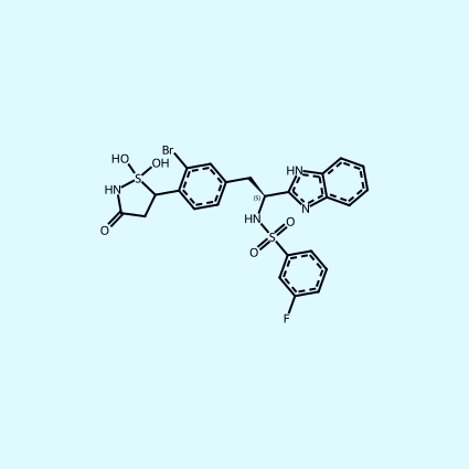 O=C1CC(c2ccc(C[C@H](NS(=O)(=O)c3cccc(F)c3)c3nc4ccccc4[nH]3)cc2Br)S(O)(O)N1